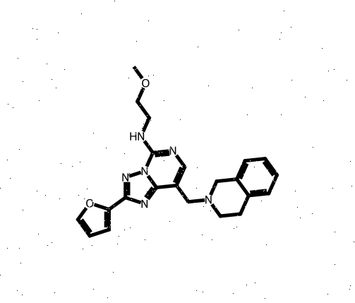 COCCNc1ncc(CN2CCc3ccccc3C2)c2nc(-c3ccco3)nn12